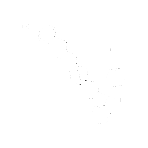 O=C(C[N+]12CCC(CC1)C(OC(=O)C(O)(c1ccccc1)c1ccccc1)C2)Nc1ccc(O)cc1.[Br-]